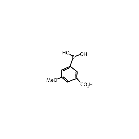 COc1cc(B(O)O)cc(C(=O)O)c1